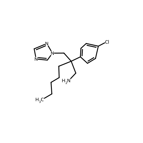 CCCCCC(CN)(Cn1cncn1)c1ccc(Cl)cc1